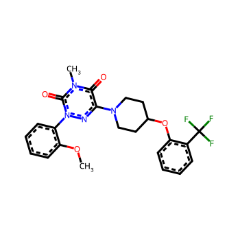 COc1ccccc1-n1nc(N2CCC(Oc3ccccc3C(F)(F)F)CC2)c(=O)n(C)c1=O